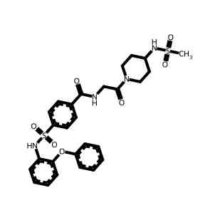 CS(=O)(=O)NC1CCN(C(=O)CNC(=O)c2ccc(S(=O)(=O)Nc3ccccc3Oc3ccccc3)cc2)CC1